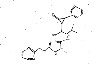 CC(C)[C@H](NC(=O)[C@H](C)NC(=O)OCc1ccccc1)C(O)C1C(=O)C1c1ccccc1